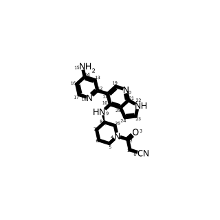 N#CCC(=O)N1CCC[C@@H](Nc2c(-c3cc(N)ccn3)cnc3[nH]ccc23)C1